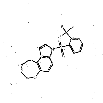 O=S(=O)(c1ccccc1C(F)(F)F)n1ccc2c3c(ccc21)OCCNC3